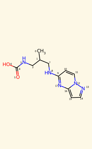 CC(CNC(=O)O)CNc1ccn2nccc2n1